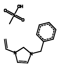 C=CN1C=CN(Cc2ccccc2)C1.CS(=O)(=O)O